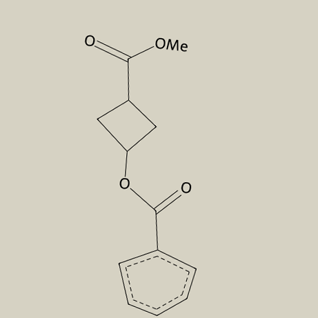 COC(=O)C1CC(OC(=O)c2ccccc2)C1